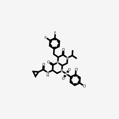 CC(C)N1CC2N(C(=O)C(NC(=O)C3CC3)CN2S(=O)(=O)c2ccc(Cl)cc2Cl)C(Cc2ccc(F)c(F)c2)C1=O